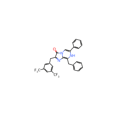 O=c1c(Cc2cc(C(F)(F)F)cc(C(F)(F)F)c2)nc2c(Cc3ccccc3)[nH]c(-c3ccccc3)cn1-2